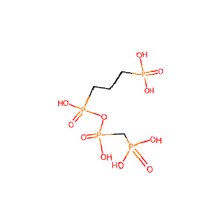 O=P(O)(O)CCCP(=O)(O)OP(=O)(O)CP(=O)(O)O